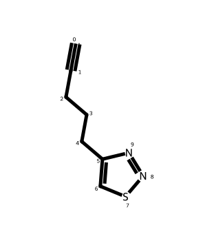 [C]#CCCCc1csnn1